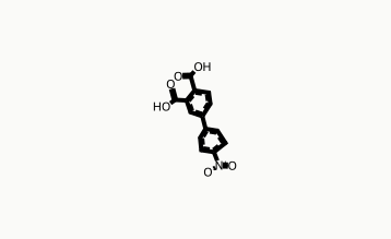 O=C(O)c1ccc(-c2ccc([N+](=O)[O-])cc2)cc1C(=O)O